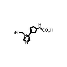 CC(C)Cn1cncc1C1=CCC(NC(=O)O)C1